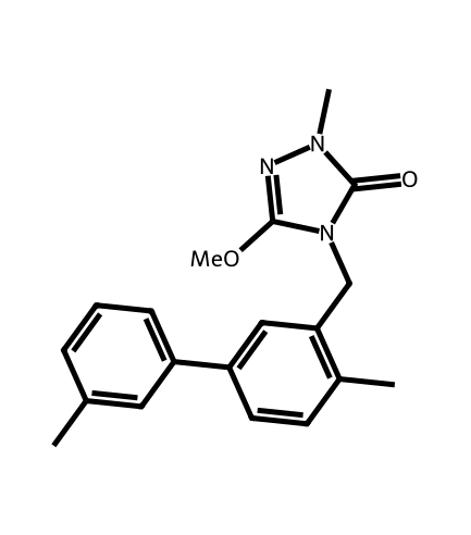 COc1nn(C)c(=O)n1Cc1cc(-c2cccc(C)c2)ccc1C